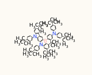 CC(C)(C)c1ccc(N(c2ccc(C(C)(C)C)cc2)c2ccc3c(c2)C(C)(C)c2cc(C(C)(C)C)cc4c2B3c2cc3c5cc(C(C)(C)C)ccc5n(-c5ccc(C(C)(C)C)cc5)c3cc2N4c2ccc(C(C)(C)C)cc2)cc1